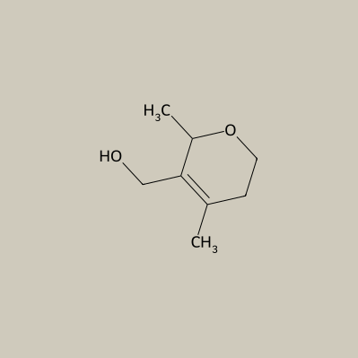 CC1=C(CO)C(C)OCC1